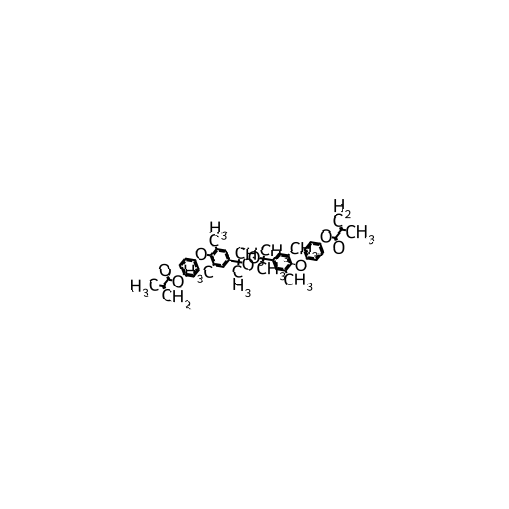 C=C(C)C(=O)Oc1ccc(Oc2c(C)cc(C(C)(C)OOC(C)(C)c3cc(C)c(Oc4ccc(OC(=O)C(=C)C)cc4)c(C)c3)cc2C)cc1